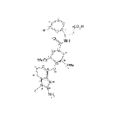 COc1cc(C(=O)N[C@@H](CC(=O)O)c2cccc(F)c2)cc(OC)c1Oc1cccc2c1nc(N)n2C